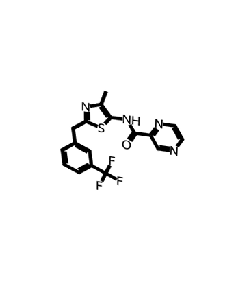 Cc1nc(Cc2cccc(C(F)(F)F)c2)sc1NC(=O)c1cnccn1